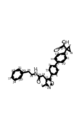 Cc1noc(-c2ccc(-c3ccc(C4(C(=O)O)CC4)cc3)cc2)c1CC(=O)NCCc1ccccc1